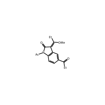 CCC(=O)c1ccc2c(c1)C(=C(CC)OC)C(=O)N2C(C)=O